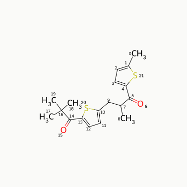 Cc1ccc(C(=O)C(C)Cc2ccc(C(=O)C(C)(C)C)s2)s1